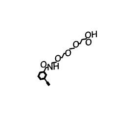 C#Cc1cccc(C(=O)NCCOCCOCCOCCC(=O)O)c1